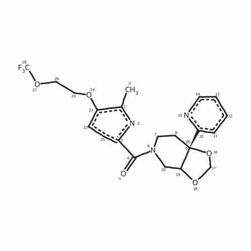 Cc1nc(C(=O)N2CC[C@]3(c4ccccn4)OCOC3C2)ccc1OCCOC(F)(F)F